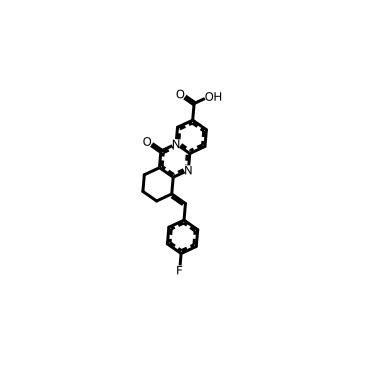 O=C(O)c1ccc2nc3c(c(=O)n2c1)CCCC3=Cc1ccc(F)cc1